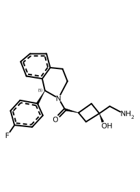 NC[C@]1(O)C[C@@H](C(=O)N2CCc3ccccc3[C@@H]2c2ccc(F)cc2)C1